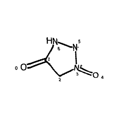 O=C1C[N+](=O)[N]N1